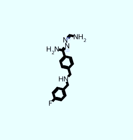 N/C=N\N=C(/N)c1ccc(CNCc2ccc(F)cc2)cc1